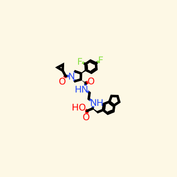 O=C(O)[C@H](Cc1ccc2c(c1)CCC2)NCCNC(=O)[C@@H]1CN(C(=O)C2CC2)C[C@H]1c1ccc(F)cc1F